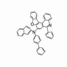 c1ccc(-c2ccc(N(c3ccc4ccccc4c3)c3cc4c(-c5ccccc5)nc5ccccc5c4c4c3oc3ccccc34)cc2)cc1